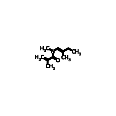 C=C(C)C(=O)N(C)/C=C(\C)CC